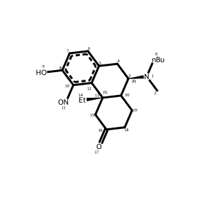 CCCCN(C)[C@@H]1Cc2ccc(O)c(N=O)c2[C@@]2(CC)CC(=O)CCC12